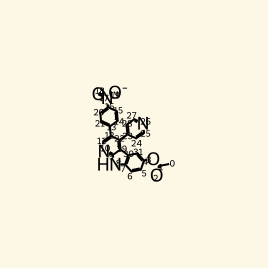 CC(=O)Oc1ccc2[nH]c3ncc(-c4ccc([N+](=O)[O-])cc4)c(-c4ccncc4)c3c2c1